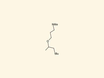 CNCCCOC(C)CC(C)(C)C